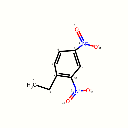 C[CH]c1ccc([N+](=O)[O-])cc1[N+](=O)[O-]